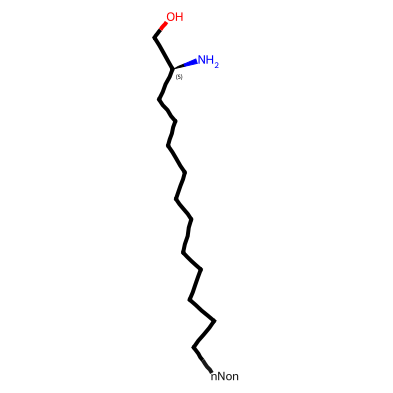 CCCCCCCCCCCCCCCCCCCC[C@H](N)CO